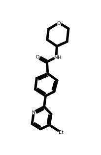 CCc1ccnc(-c2ccc(C(=O)NC3CCOCC3)cc2)c1